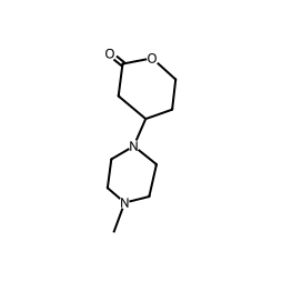 CN1CCN(C2CCOC(=O)C2)CC1